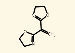 C=C(C1=NCCO1)C1=NCCO1